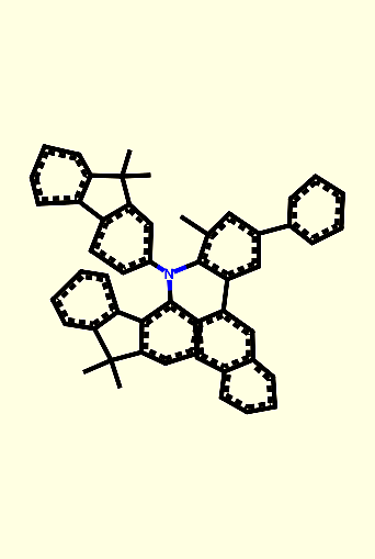 Cc1cc(-c2ccccc2)cc(-c2ccc3ccccc3c2)c1N(c1ccc2c(c1)C(C)(C)c1ccccc1-2)c1cccc2c1-c1ccccc1C2(C)C